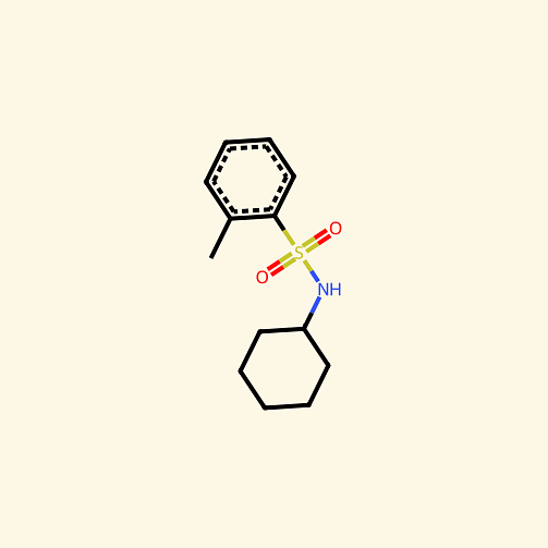 Cc1ccccc1S(=O)(=O)N[C]1CCCCC1